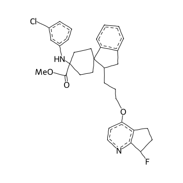 COC(=O)C1(Nc2cccc(Cl)c2)CCC2(CC1)c1ccccc1CC2CCCOc1ccnc2c1CCC2F